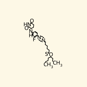 CCCCC(CCC)OC(=S)CCCCCN1CCN(c2ccc(NC3CCC(=O)NC3=O)cc2F)CC1